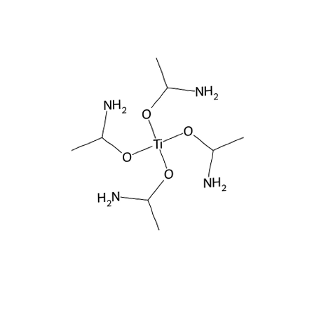 CC(N)[O][Ti]([O]C(C)N)([O]C(C)N)[O]C(C)N